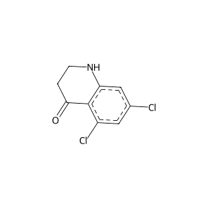 O=C1CCNc2cc(Cl)cc(Cl)c21